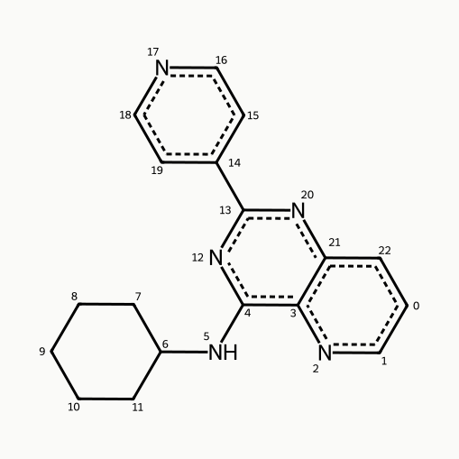 c1cnc2c(NC3CCCCC3)nc(-c3ccncc3)nc2c1